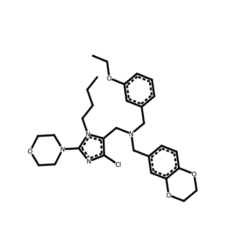 CCCCn1c(N2CCOCC2)nc(Cl)c1CN(Cc1cccc(OCC)c1)Cc1ccc2c(c1)OCCO2